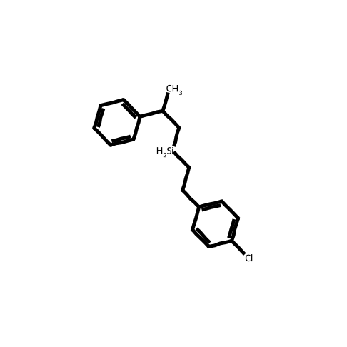 CC(C[SiH2]CCc1ccc(Cl)cc1)c1ccccc1